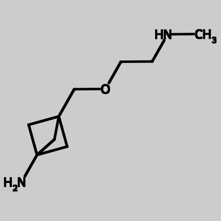 CNCCOCC12CC(N)(C1)C2